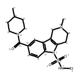 CCNS(=O)(=O)n1c2c(c3cc(C(=O)N4CCC(C)CC4)ccc31)CN(C)CC2